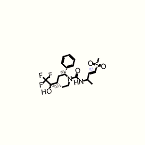 CC(/C=C/S(C)(=O)=O)NC(=O)N1CC[C@H]([C@@H](O)C(F)(F)F)C[C@@H]1c1ccccc1